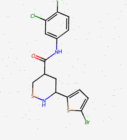 O=C(Nc1ccc(F)c(Cl)c1)C1CSNC(c2ccc(Br)s2)C1